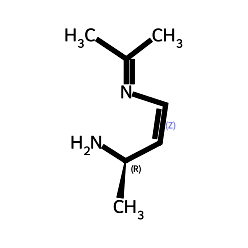 CC(C)=N/C=C\[C@@H](C)N